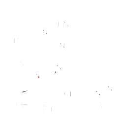 Cc1nc(N[C@@H](c2ccc(-c3cnn(C)c3)cc2)C2CC2)nc(N[C@@H]2C[C@H](CO)[C@@H](O)[C@H]2O)c1-c1nc2ccccc2s1